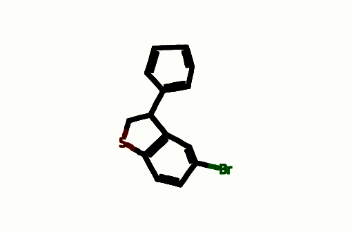 Brc1ccc2c(c1)C(c1ccccc1)CS2